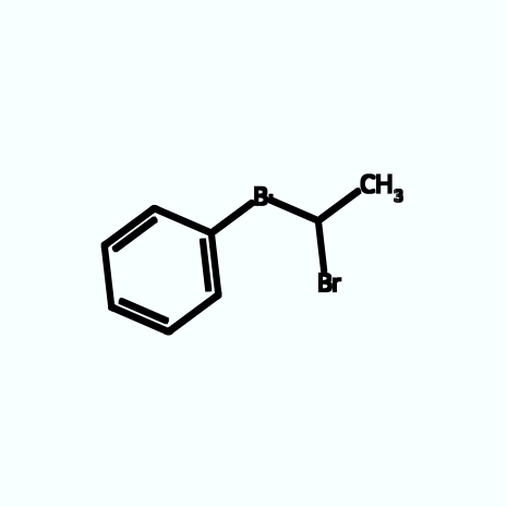 CC(Br)[B]c1ccccc1